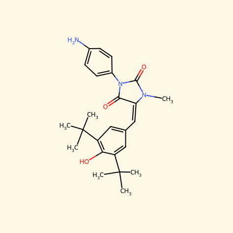 CN1C(=O)N(c2ccc(N)cc2)C(=O)C1=Cc1cc(C(C)(C)C)c(O)c(C(C)(C)C)c1